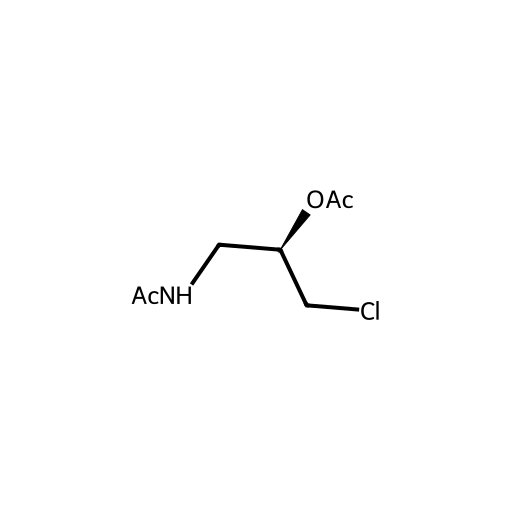 CC(=O)NC[C@H](CCl)OC(C)=O